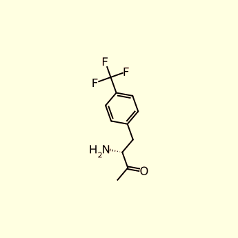 CC(=O)[C@H](N)Cc1ccc(C(F)(F)F)cc1